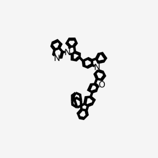 c1ccc2c(c1)-c1ccc(-c3ccc4c(c3)oc3ccc(-n5c6ccccc6c6cc(-c7ccc8c(c7)c7ccccc7n8-c7cncc8ccccc78)ccc65)cc34)cc1C21C2CC3CC(C2)CC1C3